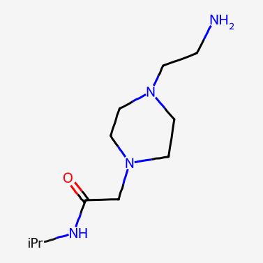 CC(C)NC(=O)CN1CCN(CCN)CC1